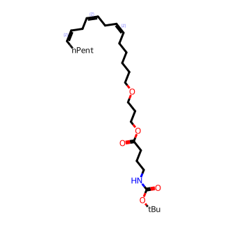 CCCCC/C=C\C/C=C\C/C=C\CCCCCOCCCOC(=O)CCCNC(=O)OC(C)(C)C